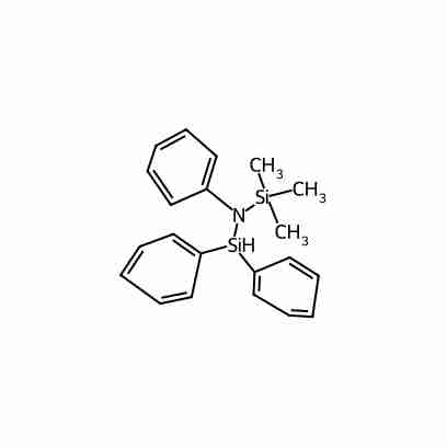 C[Si](C)(C)N(c1ccccc1)[SiH](c1ccccc1)c1ccccc1